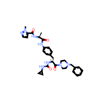 C[C@H](NC(=O)c1ccnn1C)C(=O)Nc1ccc(C[C@@H](NC(=O)NC2CC2)C(=O)N2CCN(Cc3ccccc3)CC2)cc1